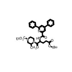 CCOC(=O)N1CCN(C(=O)C(CCC(=O)OC(C)(C)C)NC(=O)c2cc(-c3ccccc3)cc(-c3ccccc3)n2)C(C)C1